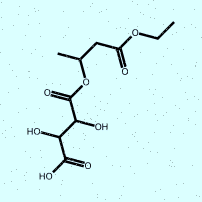 CCOC(=O)CC(C)OC(=O)C(O)C(O)C(=O)O